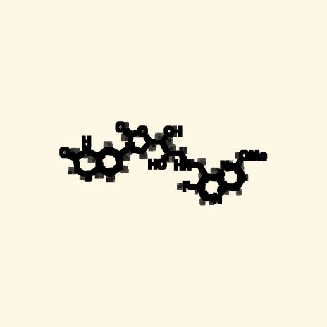 COc1ccc2ncc(F)c(CNC[C@@H](O)[C@H](O)[C@H]3CN(c4ccc5c(c4)NC(=O)CS5)C(=O)O3)c2n1